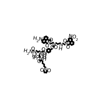 CC(C)C(NC(=O)CCCCCN1C(=O)C=CC1=O)C(=O)N[C@@H](CCCNC(N)=O)C(=O)Nc1ccc(COC(=O)N(CCCNCCN2C(=O)c3cccc4cc([N+](=O)[O-])cc(c34)C2=O)CCN2C(=O)c3cccc4c(N)ccc(c34)C2=O)cc1